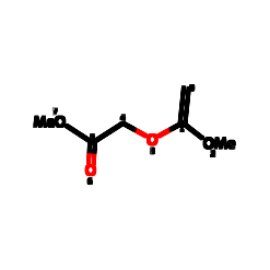 C=C(OC)OCC(=O)OC